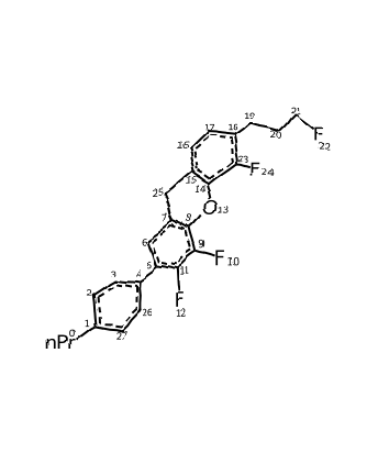 CCCc1ccc(-c2cc3c(c(F)c2F)Oc2c(ccc(CCCF)c2F)C3)cc1